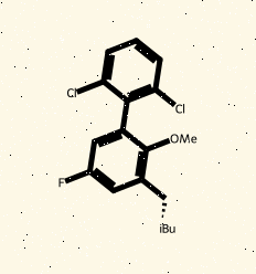 CC[C@@H](C)Cc1cc(F)cc(-c2c(Cl)cccc2Cl)c1OC